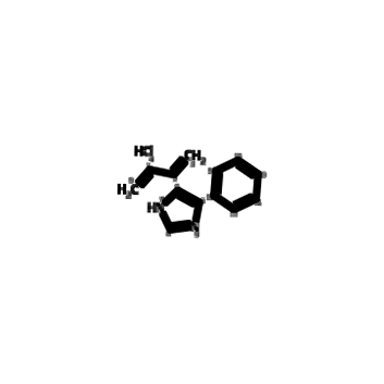 C=CC=C.Cl.c1c[nH]cn1.c1ccccc1